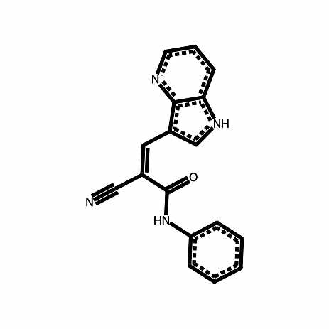 N#CC(=Cc1c[nH]c2cccnc12)C(=O)Nc1ccccc1